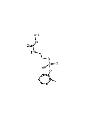 Cc1ccccc1OP(=S)(S)OCCNC(=O)OC(C)(C)C